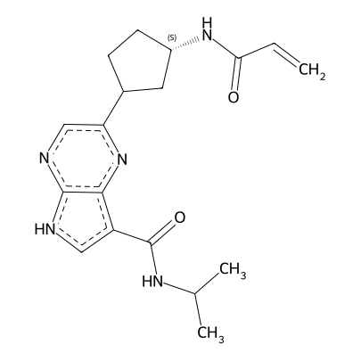 C=CC(=O)N[C@H]1CCC(c2cnc3[nH]cc(C(=O)NC(C)C)c3n2)C1